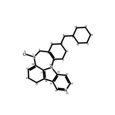 ClN1CC2=C(CCC(CC3CCCCC3)C2)n2c3c(c4cnccc42)CCC=C31